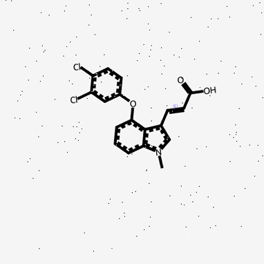 Cn1cc(/C=C/C(=O)O)c2c(Oc3ccc(Cl)c(Cl)c3)cccc21